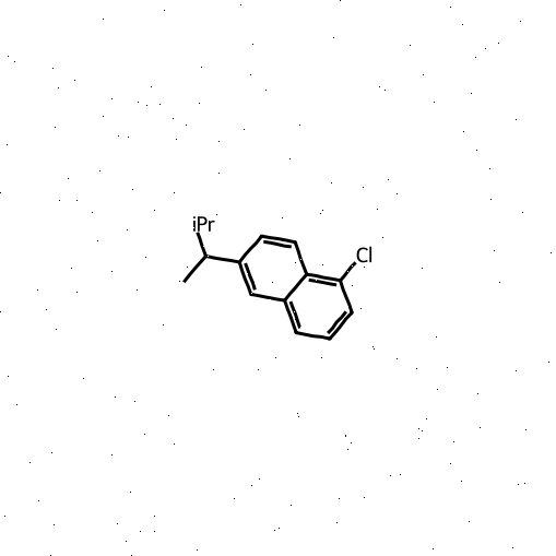 CC(C)C(C)c1ccc2c(Cl)cccc2c1